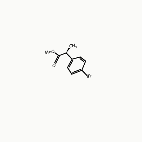 COC(=O)[C@@H](C)c1ccc(C(C)C)cc1